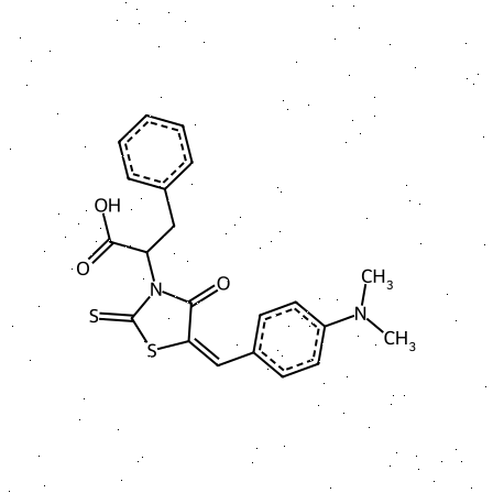 CN(C)c1ccc(C=C2SC(=S)N(C(Cc3ccccc3)C(=O)O)C2=O)cc1